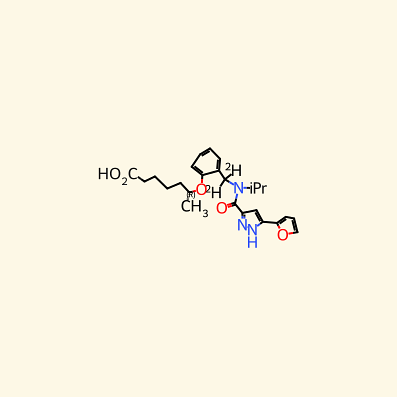 [2H]C([2H])(c1ccccc1O[C@H](C)CCCCC(=O)O)N(C(=O)c1cc(-c2ccco2)[nH]n1)C(C)C